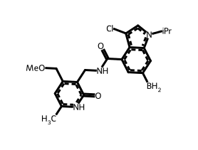 Bc1cc(C(=O)NCc2c(COC)cc(C)[nH]c2=O)c2c(Cl)cn(C(C)C)c2c1